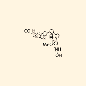 COc1nc(-c2cccc(-c3cccc(-c4ccn5c(=O)c(CN6CC[C@H](C(=O)O)C6)cnc5c4)c3Cl)c2Cl)ccc1CNCCO